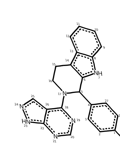 Fc1ccc(C2c3[nH]c4ccccc4c3CCN2c2ncnc3[nH]ncc23)cc1